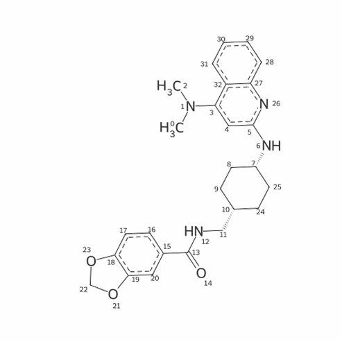 CN(C)c1cc(N[C@H]2CC[C@@H](CNC(=O)c3ccc4c(c3)OCO4)CC2)nc2ccccc12